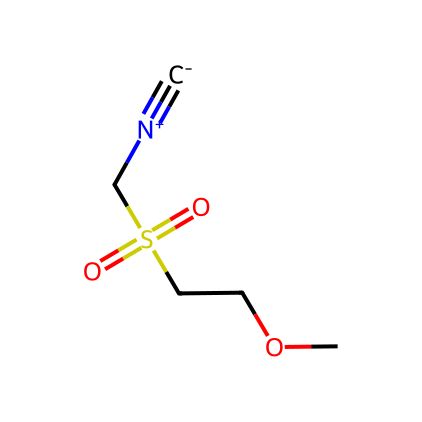 [C-]#[N+]CS(=O)(=O)CCOC